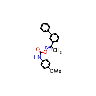 COc1ccc(NC(=O)O/N=C(\C)c2cccc(-c3ccccc3)c2)cc1